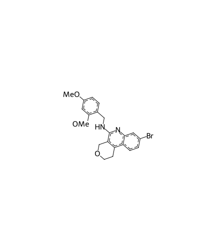 COc1ccc(CNc2nc3cc(Br)ccc3c3c2COCC3)c(OC)c1